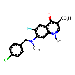 CC(C)n1cc(C(=O)O)c(=O)c2cc(F)c(N(C)Cc3ccc(Cl)cc3)cc21